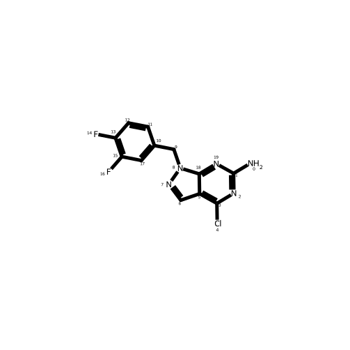 Nc1nc(Cl)c2cnn(Cc3ccc(F)c(F)c3)c2n1